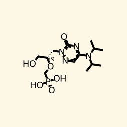 CC(C)N(c1cnn(C[C@@H](CO)OCP(=O)(O)O)c(=O)n1)C(C)C